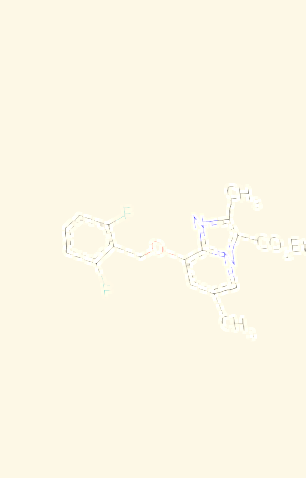 CCOC(=O)c1c(C)nc2c(OCc3c(F)cccc3F)cc(C)cn12